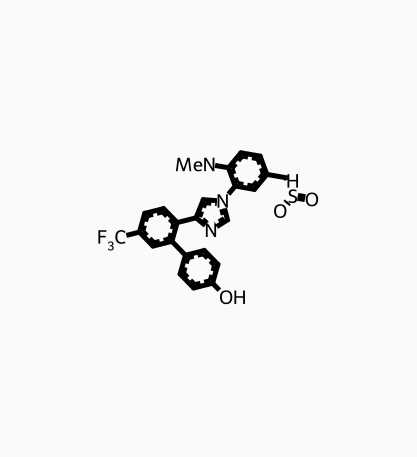 CNc1ccc(C[SH](=O)=O)cc1-n1cnc(-c2ccc(C(F)(F)F)cc2-c2ccc(O)cc2)c1